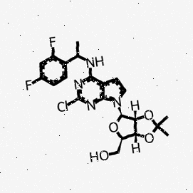 CC(Nc1nc(Cl)nc2c1ccn2[C@@H]1O[C@H](CO)[C@H]2OC(C)(C)O[C@H]21)c1ccc(F)cc1F